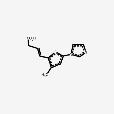 Cc1cc(-n2ccnc2)sc1C=CCC(=O)O